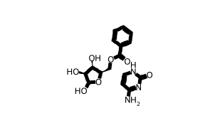 Nc1cc[nH]c(=O)n1.O=C(OC[C@H]1OC(O)[C@@H](O)[C@@H]1O)c1ccccc1